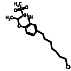 CCCCCCCCc1ccc(OC(C)NS(C)(=O)=O)c(S)c1